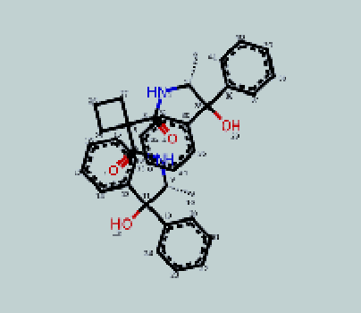 C[C@@H](NC(=O)C1(C(=O)N[C@H](C)C(O)(c2ccccc2)c2ccccc2)CCC1)C(O)(c1ccccc1)c1ccccc1